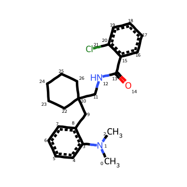 CN(C)c1ccccc1CC1(CNC(=O)c2ccccc2Cl)CCCCC1